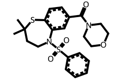 CC1(C)CCN(S(=O)(=O)c2ccccc2)c2cc(C(=O)N3CCOCC3)ccc2S1